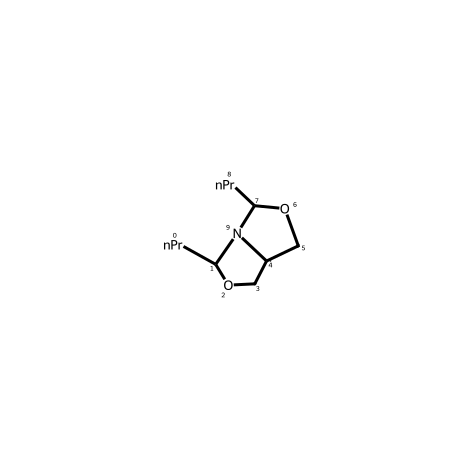 CCCC1OC[C]2COC(CCC)N21